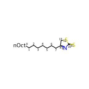 CCCCCCCCCCCCCCCC1=NC(=S)SC1